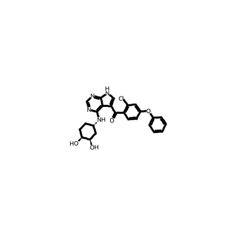 O=C(c1ccc(Oc2ccccc2)cc1Cl)c1c[nH]c2ncnc(N[C@H]3CC[C@H](O)[C@H](O)C3)c12